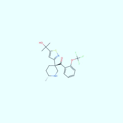 C[C@@H]1CC[C@](C(=O)c2ccccc2OC(F)(F)F)(c2cc(C(C)(C)O)sn2)CN1